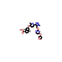 Cc1nc(-c2nnn(C)c2COc2nccc(O[C@@H]3CCOC3)n2)ccc1O[C@@H]1C[C@H]2CC[C@@H](C(=O)O)[C@H]2C1